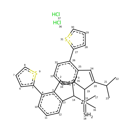 CC1=Cc2c(-c3cccs3)cccc2[CH]1[Zr]([CH3])([CH3])(=[SiH2])[CH]1C(C(C)C)=Cc2c(-c3cccs3)cccc21.Cl.Cl